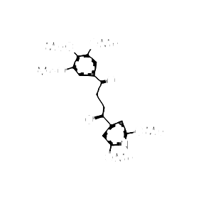 COc1cc(C(=O)CCC(=O)c2cc(OC)c(OC)c(OC)c2)cc(OC)n1